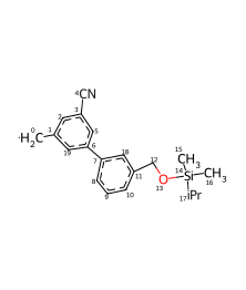 [CH2]c1cc(C#N)cc(-c2cccc(CO[Si](C)(C)C(C)C)c2)c1